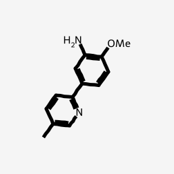 COc1ccc(-c2ccc(C)cn2)cc1N